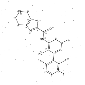 Cc1ccc(F)c(C2=CC(C)CC(NC(=O)c3nc4c(s3)CNCC4)=C2C#N)c1F